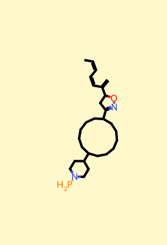 C=C(/C=C\C=C/C)C1CC(C2CCCCCCC(C3CCN(P)CC3)CCCCC2)=NO1